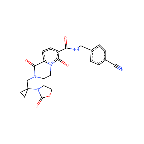 N#Cc1ccc(CNC(=O)c2ccc3n(c2=O)CCN(CC2(N4CCOC4=O)CC2)C3=O)cc1